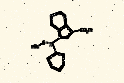 CCCCS[C@@H](c1ccccc1)c1cc(C(=O)OCC)c2ccccn12